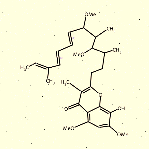 CC=C(C)/C=C/C=C/C(OC)C(C)C(OC)C(C)CCc1oc2c(O)c(OC)cc(OC)c2c(=O)c1C